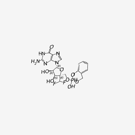 Nc1nc2c(ncn2[C@@H]2O[C@@](CO[PH]3(O)OCc4ccccc4O3)(C(F)F)[C@@H](O)[C@H]2O)c(=O)[nH]1